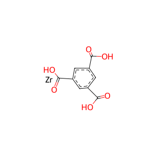 O=C(O)c1cc(C(=O)O)cc(C(=O)O)c1.[Zr]